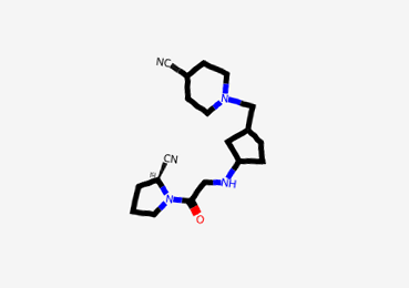 N#CC1CCN(CC2CCC(NCC(=O)N3CCC[C@H]3C#N)C2)CC1